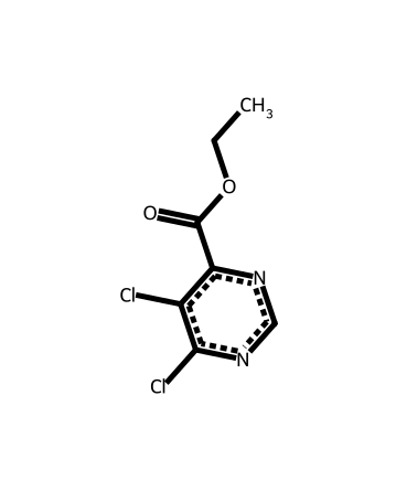 CCOC(=O)c1ncnc(Cl)c1Cl